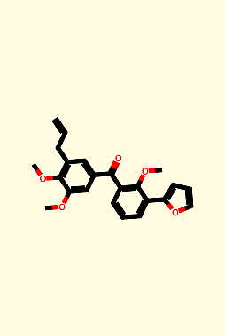 C=CCc1cc(C(=O)c2cccc(-c3ccco3)c2OC)cc(OC)c1OC